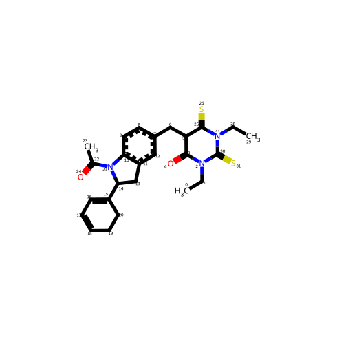 CCN1C(=O)C(Cc2ccc3c(c2)CC(C2=CC=CCC2)N3C(C)=O)C(=S)N(CC)C1=S